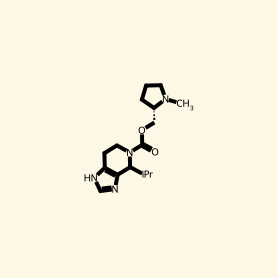 CC(C)C1c2nc[nH]c2CCN1C(=O)OC[C@@H]1CCCN1C